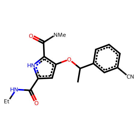 CCNC(=O)c1cc(OC(C)c2cccc(C#N)c2)c(C(=O)NC)[nH]1